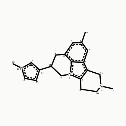 Cc1cc2c3c(c1)c1c(n3CC(c3ccn(C)c3)C2)CCN(C)C1